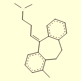 Cc1cccc2c1CCc1ccccc1C2=CCCN(C)C